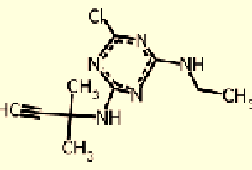 C#CC(C)(C)Nc1nc(Cl)nc(NCC)n1